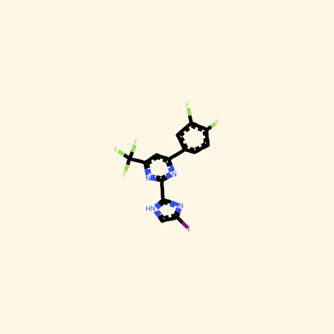 Fc1ccc(-c2cc(C(F)(F)F)nc(-c3nc(I)c[nH]3)n2)cc1F